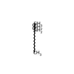 CCCCCCCCCCCCCC[SiH2]O[SiH2]O[SiH3]